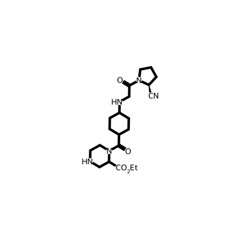 CCOC(=O)C1CNCCN1C(=O)C1CCC(NCC(=O)N2CCC[C@H]2C#N)CC1